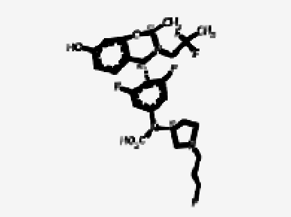 C[C@@H]1Cc2cc(O)ccc2[C@@H](c2c(F)cc(N(C(=O)O)[C@H]3CCN(CCCF)C3)cc2F)N1CC(C)(F)F